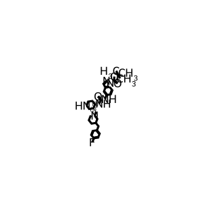 CC(C)(C)OC(=O)n1ncc2cc(NC(=O)N[C@@H]3CCNC[C@H]3CN3CCCC(Cc4ccc(F)cc4)C3)ccc21